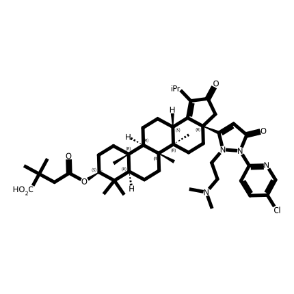 CC(C)C1=C2[C@H]3CC[C@@H]4[C@@]5(C)CC[C@H](OC(=O)CC(C)(C)C(=O)O)C(C)(C)[C@@H]5CC[C@@]4(C)[C@]3(C)CC[C@@]2(c2cc(=O)n(-c3ccc(Cl)cn3)n2CCN(C)C)CC1=O